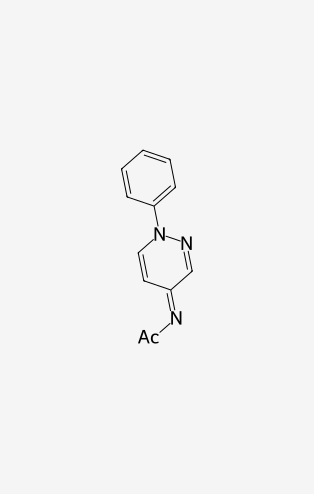 CC(=O)N=c1ccn(-c2ccccc2)nc1